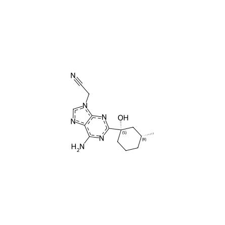 C[C@@H]1CCC[C@@](O)(c2nc(N)c3ncn(CC#N)c3n2)C1